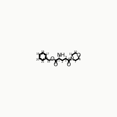 N[C@H](CCC(=O)N1CCOCC1)C(=O)OCc1ccccc1